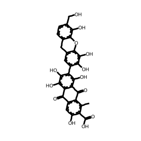 Cc1c(C(=O)O)c(O)cc2c1C(=O)c1c(O)c(-c3cc4c(c(O)c3O)Oc3c(ccc(CO)c3O)C4)c(O)c(O)c1C2=O